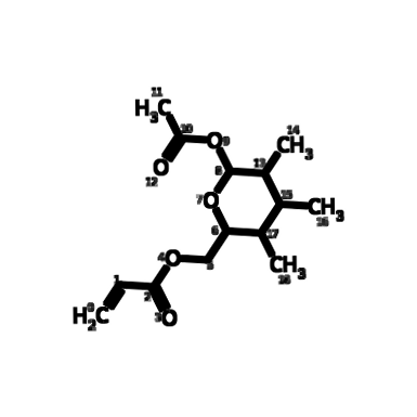 C=CC(=O)OCC1OC(OC(C)=O)C(C)C(C)C1C